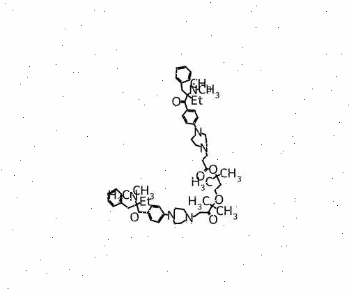 CCC(Cc1ccccc1)(C(=O)c1ccc(N2CCN(CCC(=O)OC(C)(C)CCOC(C)(C)C(=O)CCN3CCN(c4ccc(C(=O)C(CC)(Cc5ccccc5)N(C)C)cc4)CC3)CC2)cc1)N(C)C